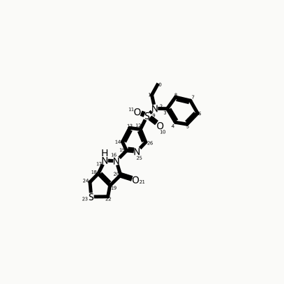 CCN(c1ccccc1)S(=O)(=O)c1ccc(-n2[nH]c3c(c2=O)CSC3)nc1